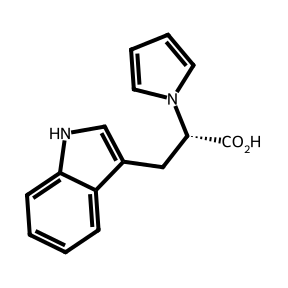 O=C(O)[C@H](Cc1c[nH]c2ccccc12)n1cccc1